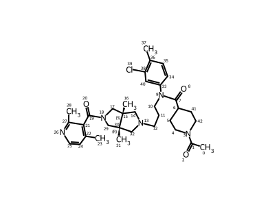 CC(=O)N1CCC(C(=O)N(CCCN2C[C@@]3(C)CN(C(=O)c4c(C)ccnc4C)C[C@@]3(C)C2)c2ccc(C)c(Cl)c2)CC1